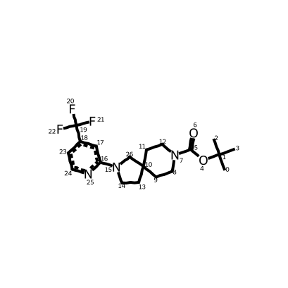 CC(C)(C)OC(=O)N1CCC2(CC1)CCN(c1cc(C(F)(F)F)ccn1)C2